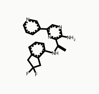 C=C(Nc1cccc2c1CC(F)(F)C2)c1nc(-c2cccnc2)cnc1N